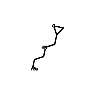 CCCCCCNCC1CO1